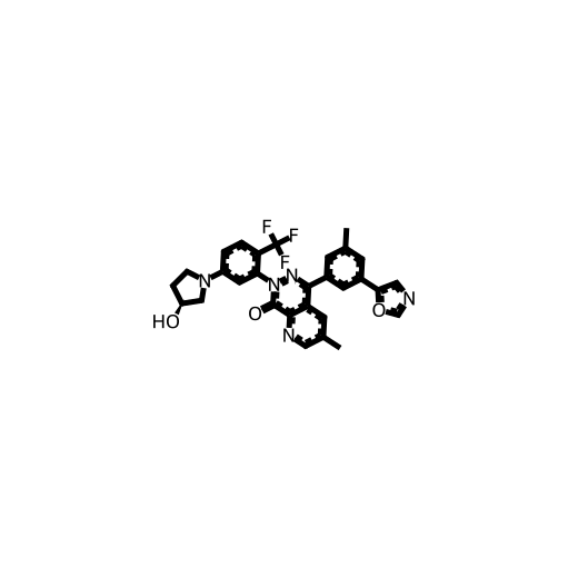 Cc1cc(-c2cnco2)cc(-c2nn(-c3cc(N4CC[C@H](O)C4)ccc3C(F)(F)F)c(=O)c3ncc(C)cc23)c1